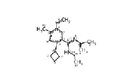 C=Cc1cc(/C(=N/C(=C)C)NCC)c(C2CCC2)cc1C